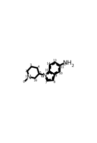 CN1CCCC(n2ccc3cc(N)ccc32)C1